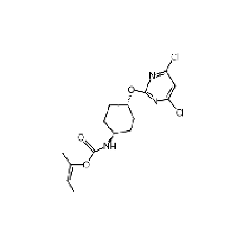 C/C=C(/C)OC(=O)N[C@H]1CC[C@H](Oc2nc(Cl)cc(Cl)n2)CC1